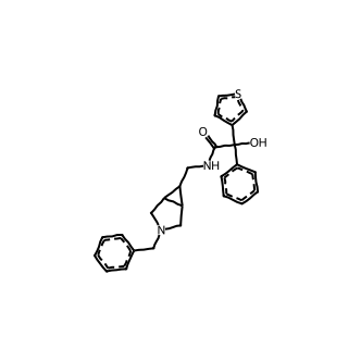 O=C(NCC1C2CN(Cc3ccccc3)CC12)C(O)(c1ccccc1)c1ccsc1